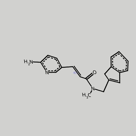 CN(CC1=Cc2ccccc2C1)C(=O)/C=C/c1ccc(N)nc1